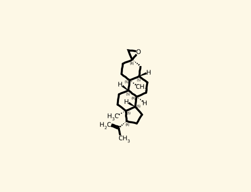 C=C(C)[C@H]1CC[C@H]2[C@@H]3CC[C@H]4C[C@]5(CC[C@]4(C)[C@H]3CC[C@]12C)CO5